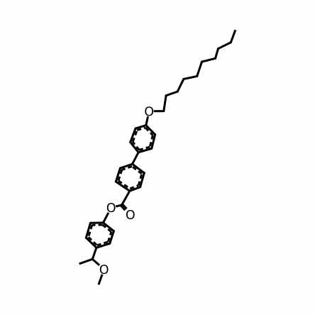 CCCCCCCCCCOc1ccc(-c2ccc(C(=O)Oc3ccc(C(C)OC)cc3)cc2)cc1